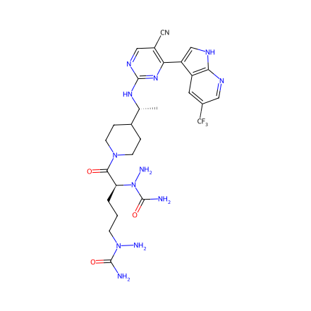 C[C@@H](Nc1ncc(C#N)c(-c2c[nH]c3ncc(C(F)(F)F)cc23)n1)C1CCN(C(=O)[C@H](CCCN(N)C(N)=O)N(N)C(N)=O)CC1